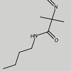 C=NC(C)(C)C(=O)NCCCC